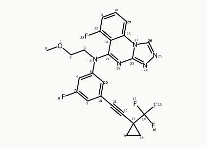 COCCN(c1cc(F)cc(C#CC2(C(F)(F)F)CC2)c1)c1nc2nncn2c2cccc(F)c12